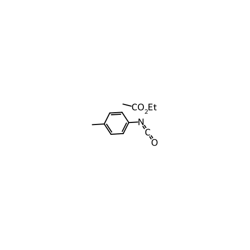 CCOC(C)=O.Cc1ccc(N=C=O)cc1